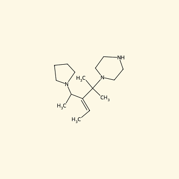 CC=C(C(C)N1CCCC1)C(C)(C)N1CCNCC1